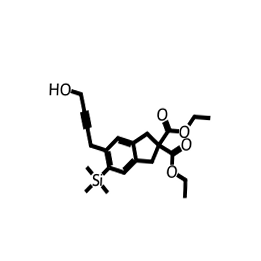 CCOC(=O)C1(C(=O)OCC)Cc2cc(CC#CCO)c([Si](C)(C)C)cc2C1